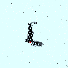 C=C(C)[C@@H]1CC[C@]2(CN[C@@H](CC(=O)OC(C)(C)C)C(=O)OC)CC[C@]3(C)[C@H](CC[C@@H]4[C@@]5(C)CC=C(c6ccc(C(=O)OC(C)(C)C)cc6)C(C)(C)[C@@H]5CC[C@]43C)[C@@H]12